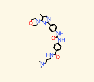 Cc1cnc(-c2ccc(NC(=O)Nc3ccc(C(=O)NCCCN(C)C)cc3)cc2)nc1N1CCOCC1